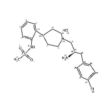 CS(=O)(=O)Nc1ccccc1N1CCN(C[C@H](N)Cc2ccc(Cl)cc2)CC1.Cl